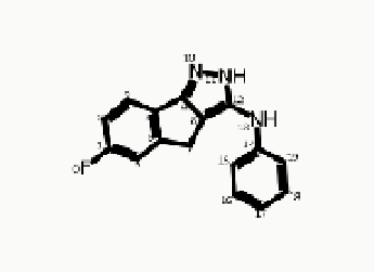 Fc1ccc2c(c1)Cc1c-2n[nH]c1Nc1ccccc1